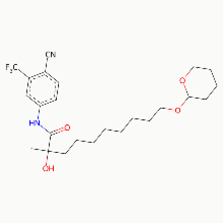 CC(O)(CCCCCCCCOC1CCCCO1)C(=O)Nc1ccc(C#N)c(C(F)(F)F)c1